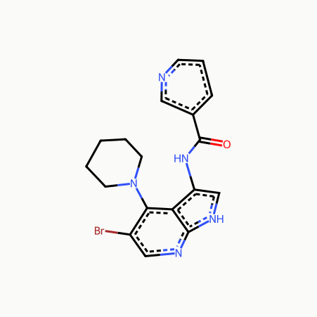 O=C(Nc1c[nH]c2ncc(Br)c(N3CCCCC3)c12)c1cccnc1